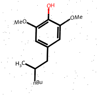 CCCCC(C)Cc1cc(OC)c(O)c(OC)c1